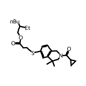 CCCCC(CC)COC(=O)CCSc1ccc2c(c1)C(C)(C)CN(C(=O)C1CC1)C2